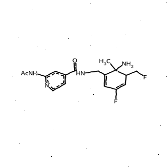 CC(=O)Nc1cc(C(=O)NCC2=CC(F)=CC(CF)C2(C)N)ccn1